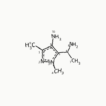 Cc1nn(C)c(C(C)N)c1N